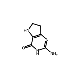 Nc1nc2c(c(=O)[nH]1)NCC2